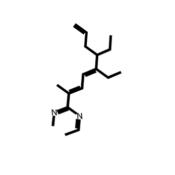 C=CCC(CC)/C(=C/C=C(C)/C(/N=C\C)=N/C)CC